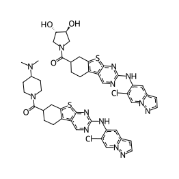 CN(C)C1CCN(C(=O)C2CCc3c(sc4nc(Nc5cc6ccnn6cc5Cl)ncc34)C2)CC1.O=C(C1CCc2c(sc3nc(Nc4cc5ccnn5cc4Cl)ncc23)C1)N1C[C@H](O)[C@@H](O)C1